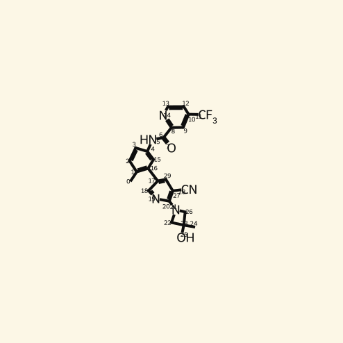 Cc1ccc(NC(=O)c2cc(C(F)(F)F)ccn2)cc1-c1cnc(N2CC(C)(O)C2)c(C#N)c1